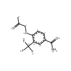 CC(=O)COc1ccc(C(N)=O)cc1C(F)(F)F